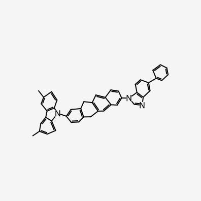 Cc1ccc2c(c1)c1cc(C)ccc1n2-c1ccc2c(c1)Cc1cc3ccc(-n4cnc5cc(-c6ccccc6)ccc54)cc3cc1C2